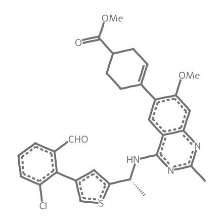 COC(=O)C1CC=C(c2cc3c(N[C@H](C)c4cc(-c5c(Cl)cccc5C=O)cs4)nc(C)nc3cc2OC)CC1